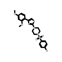 COc1ccc(-c2csc(N3CCN(S(=O)(=O)c4ccc(Cl)cc4)CC3)n2)c(OC)c1